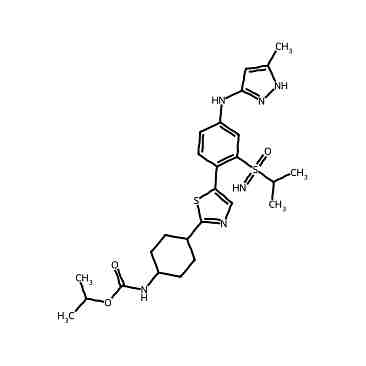 Cc1cc(Nc2ccc(-c3cnc(C4CCC(NC(=O)OC(C)C)CC4)s3)c(S(=N)(=O)C(C)C)c2)n[nH]1